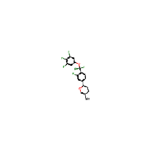 CCCC1=COC(c2ccc(C(F)(F)Oc3cc(F)c(F)c(F)c3)c(F)c2)CC1